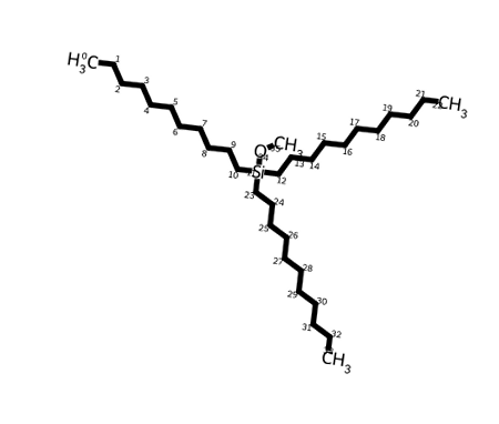 CCCCCCCCCCC[Si](CCCCCCCCCCC)(CCCCCCCCCCC)OC